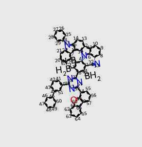 Bc1c(B)c(-n2c3ccccc3c3ccc4c(c5ccccc5n4-c4ccccc4)c32)c(C#N)c(B)c1-c1nc(-c2cccc(-c3ccccc3)c2)nc(-c2cccc3c2oc2ccccc23)n1